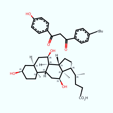 CC(C)(C)c1ccc(C(=O)CC(=O)c2ccc(O)cc2)cc1.C[C@H](CCC(=O)O)[C@H]1CC[C@H]2[C@@H]3[C@H](O)C[C@@H]4C[C@H](O)CC[C@]4(C)[C@H]3C[C@H](O)[C@]12C